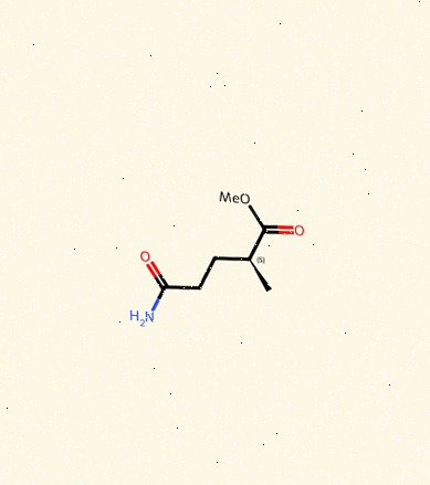 COC(=O)[C@@H](C)CCC(N)=O